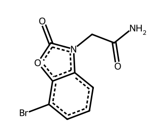 NC(=O)Cn1c(=O)oc2c(Br)cccc21